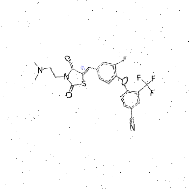 CN(C)CCN1C(=O)S/C(=C\c2ccc(Oc3ccc(C#N)cc3C(F)(F)F)c(F)c2)C1=O